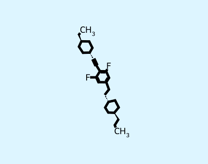 CCC[C@H]1CC[C@H](CCc2cc(F)c(C#C[C@H]3CC[C@H](CC)CC3)c(F)c2)CC1